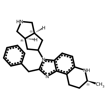 C[C@H]1CCc2c(ccc3c2nc(Cc2ccccc2)n3C2C[C@H]3CNC[C@H]3C2)N1